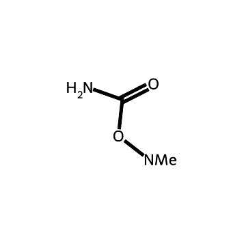 CNOC(N)=O